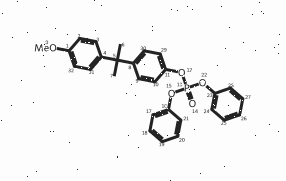 COc1ccc(C(C)(C)c2ccc(OP(=O)(Oc3ccccc3)Oc3ccccc3)cc2)cc1